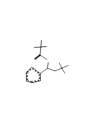 CC(C)(O)CC(NC(=O)C(F)(F)F)c1ccccc1